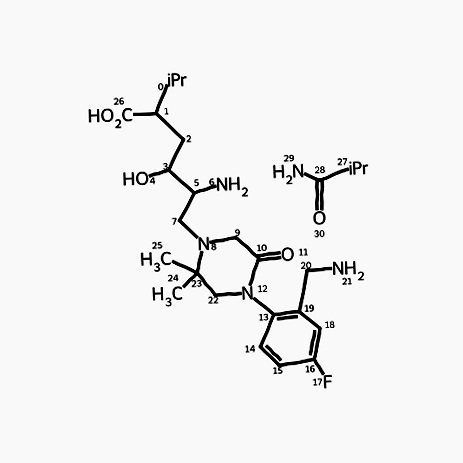 CC(C)C(CC(O)C(N)CN1CC(=O)N(c2ccc(F)cc2CN)CC1(C)C)C(=O)O.CC(C)C(N)=O